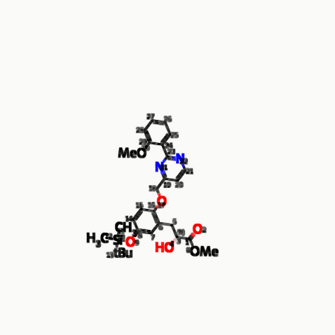 COC(=O)[C@H](O)Cc1cc(O[Si](C)(C)C(C)(C)C)ccc1OCc1ccnc(-c2ccccc2OC)n1